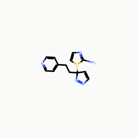 NC1=NC=C[SH]1C1(CCc2ccncc2)C=CN=N1